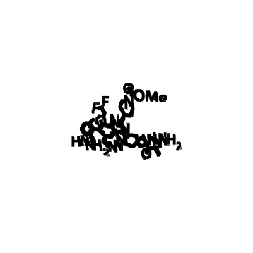 C=CC(=O)C1(N=NN)CC2(CCC(N=NN)(c3nc(C4CCN(C(=O)OC)CC4)nc4c(OCC(F)F)c(-c5c(C)ccc6[nH]ncc56)c(C=C)cc34)CC2)C1